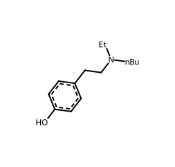 CCCCN(CC)CCc1ccc(O)cc1